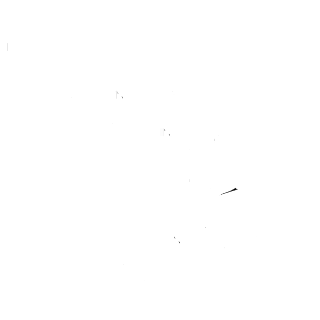 C[C@@H](CN1c2ccc(F)cc2CC1(C)C)NC(=O)O[C@@H](CC1CCCCC1)C(=O)N1CCSCC1